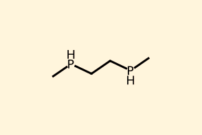 CPCCPC